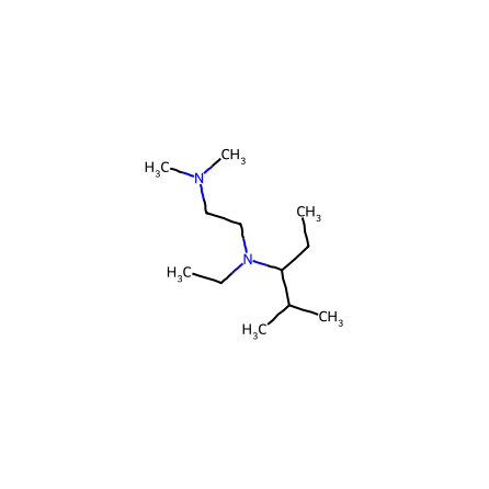 CCC(C(C)C)N(CC)CCN(C)C